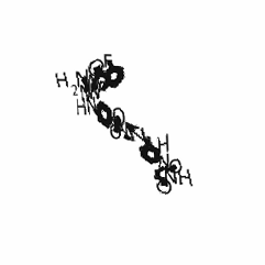 Nc1nc(Nc2ccc(S(=O)(=O)N3CCN(Cc4cccc(NC5CCC(=O)NC5=O)c4)CC3)cc2)nn1C(=O)c1c(F)cccc1F